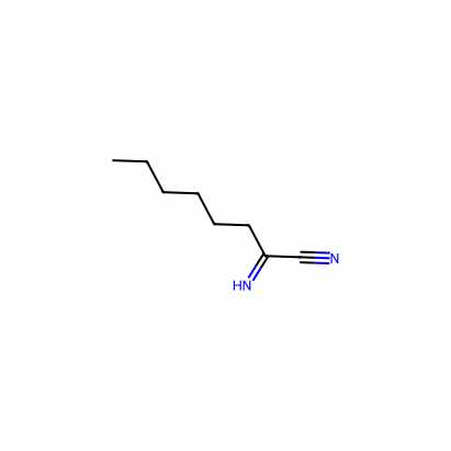 CCCCCCC(=N)C#N